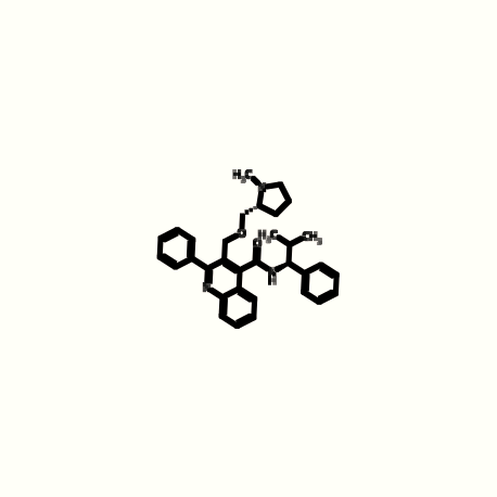 CC(C)[C@H](NC(=O)c1c(COC[C@H]2CCCN2C)c(-c2ccccc2)nc2ccccc12)c1ccccc1